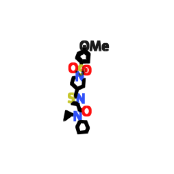 COc1ccc(S(=O)(=O)N2CCC(c3nc(C(=O)N(C4CCCCC4)C4CC4)cs3)CC2)cc1